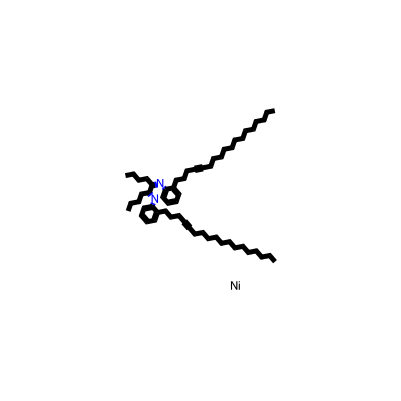 CCCCCCCCCCCCCC#CCCCc1ccccc1N=C(CCCC)C(CCCC)=Nc1ccccc1CCCC#CCCCCCCCCCCCCC.[Ni]